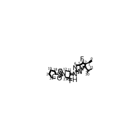 C#Cc1c(F)c2cnc(N[C@@H]3CCN(S(=O)(=O)c4ccccc4)C[C@H]3F)nn2c1C(C)C